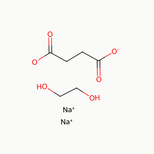 O=C([O-])CCC(=O)[O-].OCCO.[Na+].[Na+]